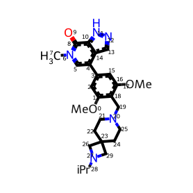 COc1cc(-c2cn(C)c(=O)c3[nH]ncc23)cc(OC)c1CN1CCC2(CC1)CN(C(C)C)C2